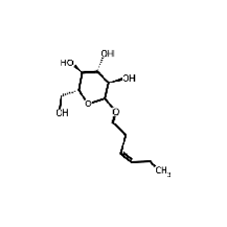 CC/C=C\CCOC1O[C@H](CO)[C@@H](O)[C@H](O)[C@H]1O